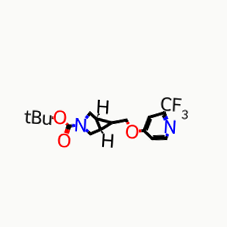 CC(C)(C)OC(=O)N1C[C@@H]2C(COc3ccnc(C(F)(F)F)c3)[C@@H]2C1